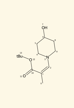 CC(=CN1CCC(O)CC1)C(=O)OC(C)(C)C